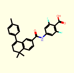 Cc1ccc(C2=CCC(C)(C)c3ccc(C(=O)Nc4cc(F)c(C(=O)O)c(F)c4)cc32)cc1